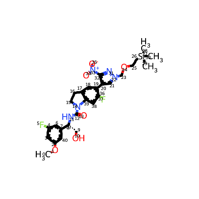 COc1cc(F)cc([C@@H](CO)NC(=O)N2CCc3cc(-c4cn(COCC[Si](C)(C)C)nc4[N+](=O)[O-])c(F)cc32)c1